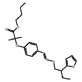 CCCCOC(=O)C(C)(C)Oc1ccc(C=NOCC(CC)c2cccs2)cc1